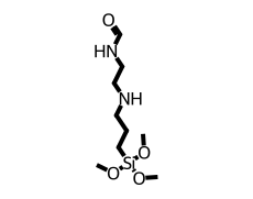 CO[Si](CCCNCCNC=O)(OC)OC